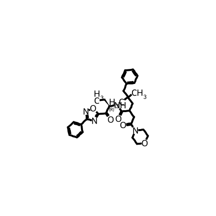 CC[C@@H](NC(=O)C(CC(=O)N1CCOCC1)CC(C)(C)Cc1ccccc1)C(=O)c1nc(-c2ccccc2)no1